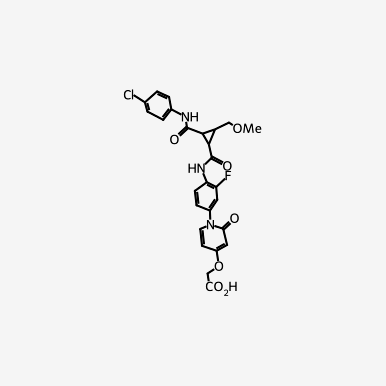 COCC1C(C(=O)Nc2ccc(Cl)cc2)C1C(=O)Nc1ccc(-n2ccc(OCC(=O)O)cc2=O)cc1F